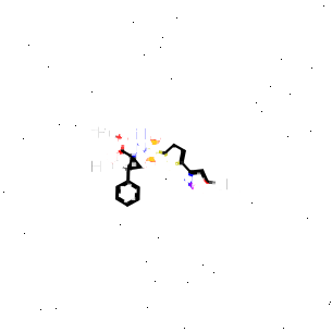 CC(C)(C)OC(=O)[C@]1(NS(=O)(=O)C2CC=C(c3cc(C(F)(F)F)on3)S2)C[C@]1(C)c1ccccc1